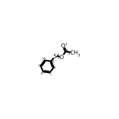 CC(=O)OSc1ccccc1